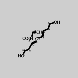 C=CC(=O)O.OCCC=COC=CCCO